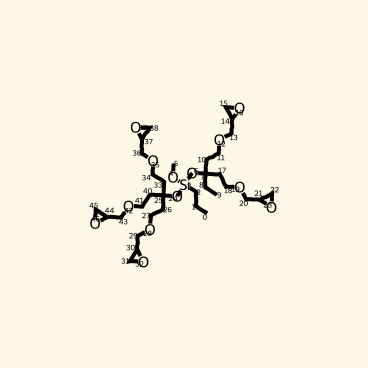 CCC[Si](OC)(OC(CC)(CCOCC1CO1)CCOCC1CO1)OC(CCOCC1CO1)(CCOCC1CO1)CCOCC1CO1